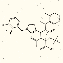 Cc1nc2c(c(-c3ccc4c(c3C)N(C)CCO4)c1[C@H](OC(C)(C)C)C(=O)O)CCN2Cc1cccc(F)c1F